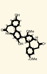 COc1ccc2c(c1)CC(=O)Nc1cc(OC)c(-c3cc4c(cc3O)NC(=O)Cc3cc(O)ccc3-4)cc1-2